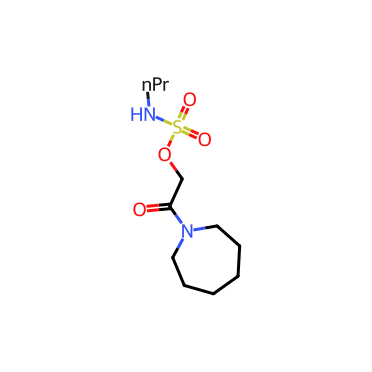 CCCNS(=O)(=O)OCC(=O)N1CCCCCC1